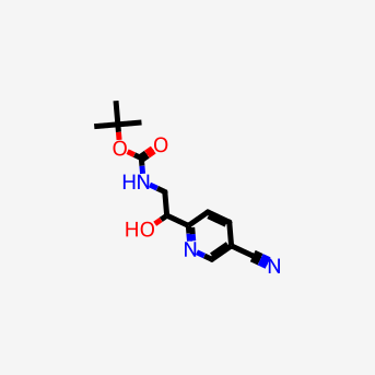 CC(C)(C)OC(=O)NCC(O)c1ccc(C#N)cn1